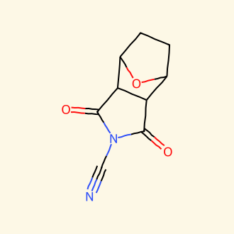 N#CN1C(=O)C2C3CCC(O3)C2C1=O